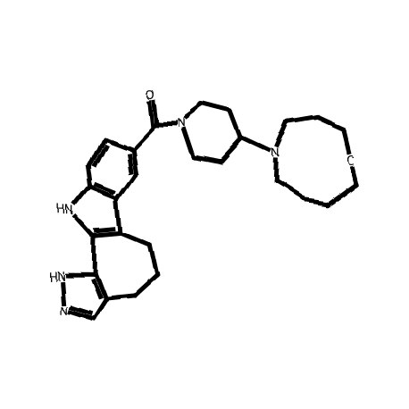 O=C(c1ccc2[nH]c3c(c2c1)CCCc1cn[nH]c1-3)N1CCC(N2CCCCCCCC2)CC1